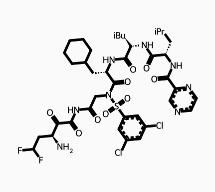 CC[C@H](C)[C@H](NC(=O)[C@H](CC(C)C)NC(=O)c1cnccn1)C(=O)N[C@@H](CC1CCCCC1)C(=O)N(CC(=O)NC(=O)C(=O)[C@@H](N)CC(F)F)S(=O)(=O)c1cc(Cl)cc(Cl)c1